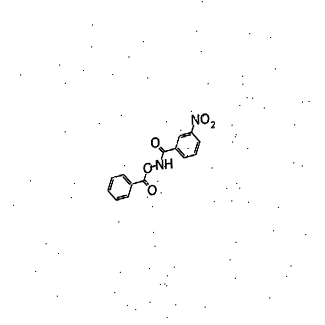 O=C(NOC(=O)c1ccccc1)c1cccc([N+](=O)[O-])c1